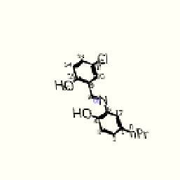 CCCc1ccc(O)c(/N=C/c2cc(Cl)ccc2O)c1